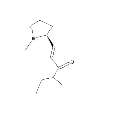 CCC(C)C(=O)/C=C/[C@@H]1CCCN1C